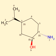 CC(C)[C@H]1CC[C@H](N)[C@@H](O)C1